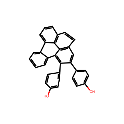 Oc1ccc(-c2cc3ccc4cccc5c6ccccc6c(c2-c2ccc(O)cc2)c3c45)cc1